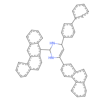 C1=C(c2ccc3c(ccc4ccccc43)c2)NC(c2c3ccccc3cc3c2ccc2ccccc23)NC1c1ccc(-c2ccccc2)cc1